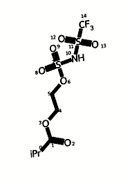 CC(C)C(=O)OCCOS(=O)(=O)NS(=O)(=O)C(F)(F)F